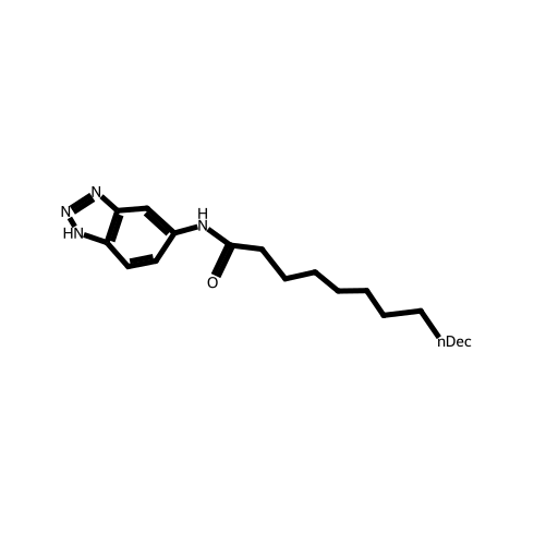 CCCCCCCCCCCCCCCCCC(=O)Nc1ccc2[nH]nnc2c1